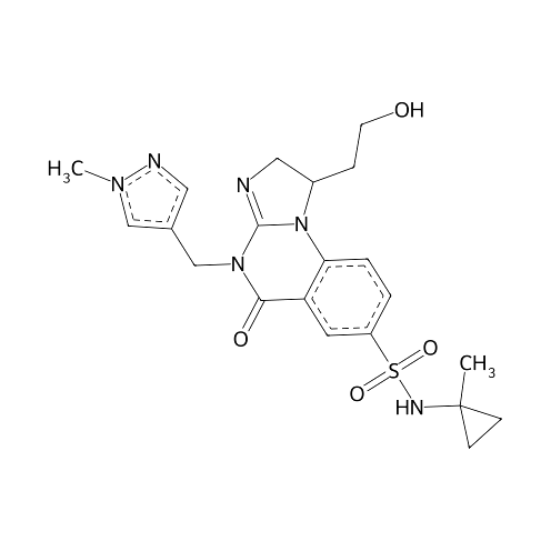 Cn1cc(CN2C(=O)c3cc(S(=O)(=O)NC4(C)CC4)ccc3N3C2=NCC3CCO)cn1